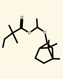 CCC(C)(C)C(=O)OC(C)OC1CC2(C)CCC1C2(C)C